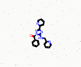 O=C(c1ccccc1)n1nc(-c2ccccn2)nc1NCc1ccccn1